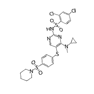 CN(c1nc(NS(=O)(=O)c2ccc(Cl)cc2Cl)ncc1Sc1ccc(S(=O)(=O)N2CCCCC2)cc1)C1CC1